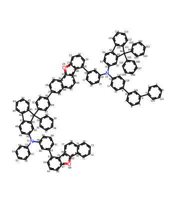 c1ccc(-c2cccc(-c3ccc(N(c4cccc(-c5cccc6oc7c8ccc(-c9ccc(C%10(c%11ccccc%11)c%11ccccc%11-c%11ccc(N(c%12ccccc%12)c%12cccc(-c%13cccc%14oc%15c%16ccccc%16ccc%15c%13%14)c%12)cc%11%10)cc9)cc8ccc7c56)c4)c4ccc5c(c4)C(c4ccccc4)(c4ccccc4)c4ccccc4-5)cc3)c2)cc1